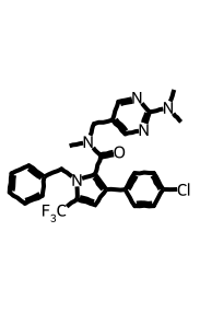 CN(Cc1cnc(N(C)C)nc1)C(=O)c1c(-c2ccc(Cl)cc2)cc(C(F)(F)F)n1Cc1ccccc1